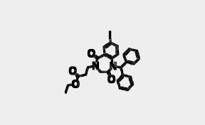 CCOC(=O)CCN1CC(=O)N(C(c2ccccc2)c2ccccc2)c2ccc(I)cc2C1=O